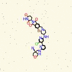 N#CC1(CNc2cccc(-c3cc(NC4CCN(Cc5cc6c(cc5Br)C(=O)N(C5CCC(=O)NC5=O)C6=O)CC4)ncc3Cl)n2)CCOCC1